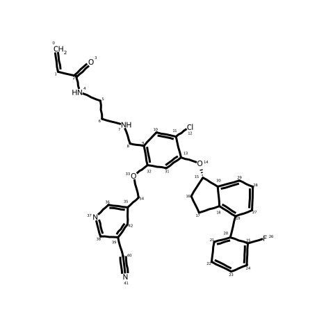 C=CC(=O)NCCNCc1cc(Cl)c(O[C@H]2CCc3c(-c4ccccc4F)cccc32)cc1OCc1cncc(C#N)c1